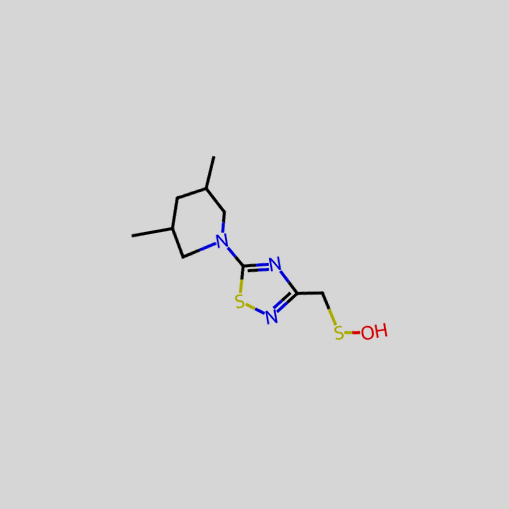 CC1CC(C)CN(c2nc(CSO)ns2)C1